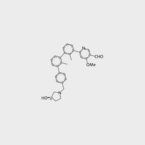 COc1cc(-c2cccc(-c3cccc(-c4ccc(CN5CC[C@@H](O)C5)cc4)c3C)c2C)ncc1C=O